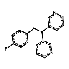 Fc1ccc([CH]C(c2cccnc2)c2cccnc2)cc1